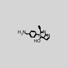 C#Cc1nc2nccc-2c(O)n1-c1ccc(CN)cc1